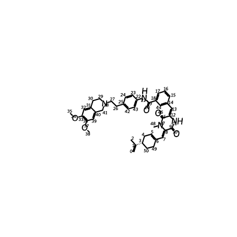 C=C(C)[C@@H]1CC=C(C=c2c(=O)[nH]c(=Cc3cccc(C(=O)Nc4ccc(CCN5CCc6cc(OC)c(OC)cc6C5)cc4)c3)c(=O)n2C)CC1